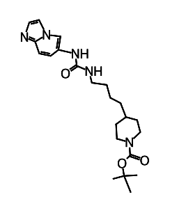 CC(C)(C)OC(=O)N1CCC(CCCCNC(=O)Nc2ccc3nccn3c2)CC1